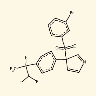 O=S(=O)(c1cccc(Br)c1)C1(c2ccc(C(F)(C(F)F)C(F)(F)F)cc2)C=CN=C1